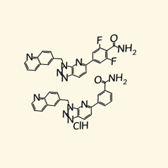 Cl.NC(=O)c1c(F)cc(-c2ccc3nnn(Cc4ccc5ncccc5c4)c3n2)cc1F.NC(=O)c1cccc(-c2ccc3nnn(Cc4ccc5ncccc5c4)c3n2)c1